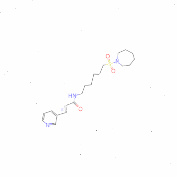 O=C(/C=C/c1cccnc1)NCCCCCCS(=O)(=O)N1CCCCCC1